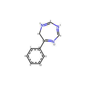 C1=NC=NCC(c2ccccc2)=N1